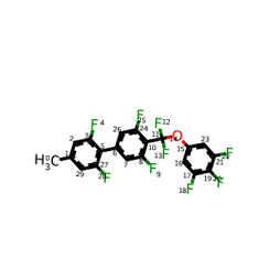 Cc1cc(F)c(-c2cc(F)c(C(F)(F)Oc3cc(F)c(F)c(F)c3)c(F)c2)c(F)c1